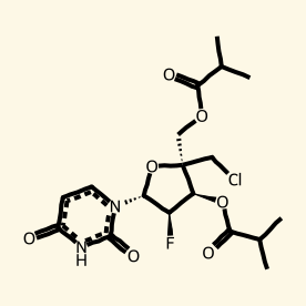 CC(C)C(=O)OC[C@@]1(CCl)O[C@@H](n2ccc(=O)[nH]c2=O)[C@H](F)[C@@H]1OC(=O)C(C)C